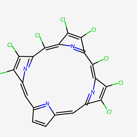 ClC1=C(Cl)C2=NC1=CC1=NC(=CC3=NC(=C(Cl)C4=NC(=C2Cl)C(Cl)=C4Cl)C(Cl)=C3Cl)C=C1